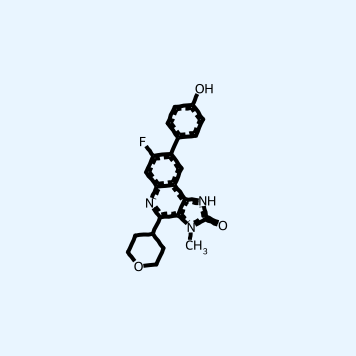 Cn1c(=O)[nH]c2c3cc(-c4ccc(O)cc4)c(F)cc3nc(C3CCOCC3)c21